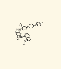 CCSN1CCc2cccc(Nc3nc(Nc4ccc(N5CCC(N6CCN(C)CC6)CC5)cc4OC)ncc3Cl)c21